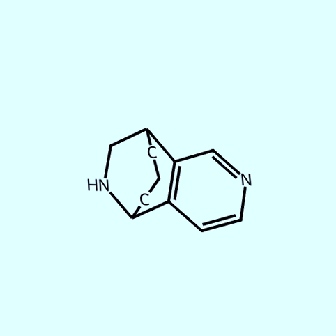 c1cc2c(cn1)C1CCCC2NC1